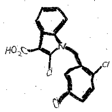 O=C(O)c1c(Cl)n(Cc2cc(Cl)ccc2Cl)c2ccccc12